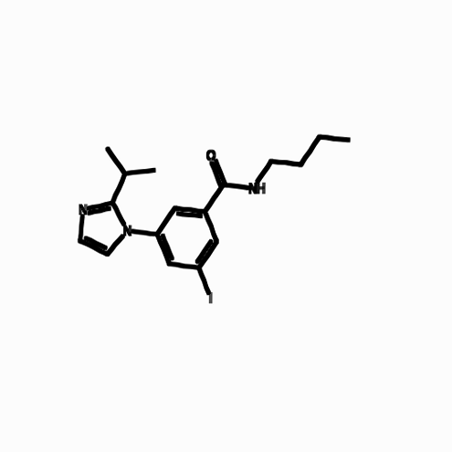 CCCCNC(=O)c1cc(I)cc(-n2ccnc2C(C)C)c1